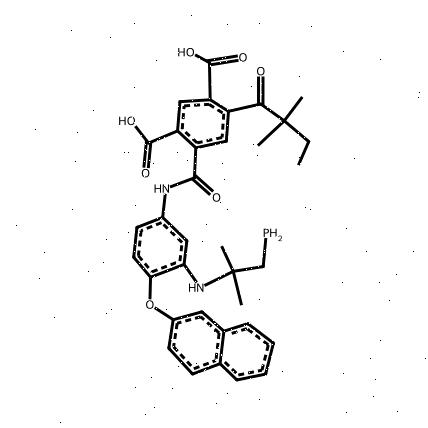 CCC(C)(C)C(=O)c1cc(C(=O)Nc2ccc(Oc3ccc4ccccc4c3)c(NC(C)(C)CP)c2)c(C(=O)O)cc1C(=O)O